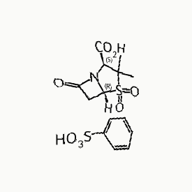 CC1(C)[C@H](C(=O)O)N2C(=O)C[C@H]2S1(=O)=O.O=S(=O)(O)c1ccccc1